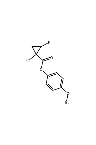 CCOc1ccc(OC(=O)C2(CC)CC2F)cc1